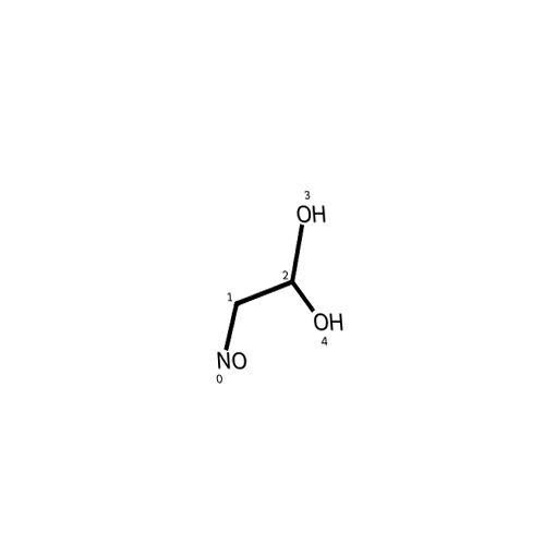 O=NCC(O)O